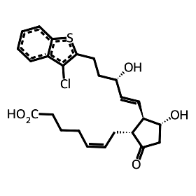 O=C(O)CCC/C=C\C[C@H]1C(=O)C[C@@H](O)[C@@H]1/C=C/[C@@H](O)CCc1sc2ccccc2c1Cl